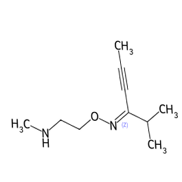 CC#C/C(=N\OCCNC)C(C)C